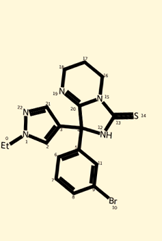 CCn1cc(C2(c3cccc(Br)c3)NC(=S)N3CCCN=C32)cn1